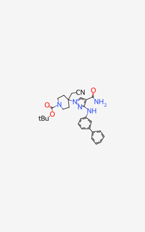 CC(C)(C)OC(=O)N1CCC(CC#N)(n2cc(C(N)=O)c(Nc3cccc(-c4ccccc4)c3)n2)CC1